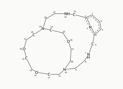 c1cc2nc(c1)CNCCN1CCOCCOCCN(CCNC2)CCOCC1